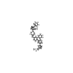 Nc1nnc(-c2ncc(-c3ccccc3)c(-c3ccc(CN4CCC(c5nnc(-c6ccccn6)[nH]5)CC4)cc3)n2)s1